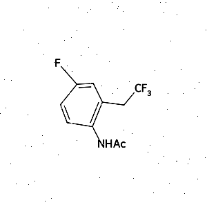 CC(=O)Nc1ccc(F)cc1CC(F)(F)F